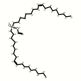 C=COP(=O)(CCCCCCCC/C=C\CCCCCCCC)CCCCCCCC/C=C\CCCCCCCC